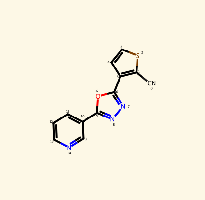 N#Cc1sccc1-c1nnc(-c2cccnc2)o1